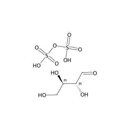 O=C[C@H](O)[C@H](O)CO.O=S(=O)(O)OS(=O)(=O)O